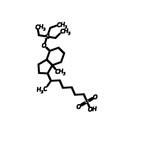 CC[Si](CC)(CC)OC1CCCC2(C)C(C(C)CCCCCS(=O)(=O)O)CCC12